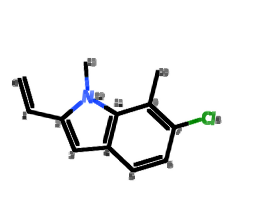 C=Cc1cc2ccc(Cl)c(C)c2n1C